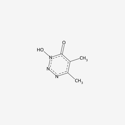 Cc1nnn(O)c(=O)c1C